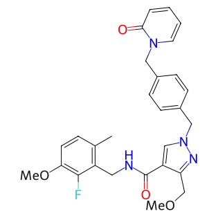 COCc1nn(Cc2ccc(Cn3ccccc3=O)cc2)cc1C(=O)NCc1c(C)ccc(OC)c1F